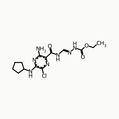 CCOC(=O)NN=CNC(=O)c1nc(Cl)c(NC2CCCC2)nc1N